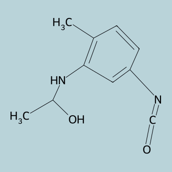 Cc1ccc(N=C=O)cc1NC(C)O